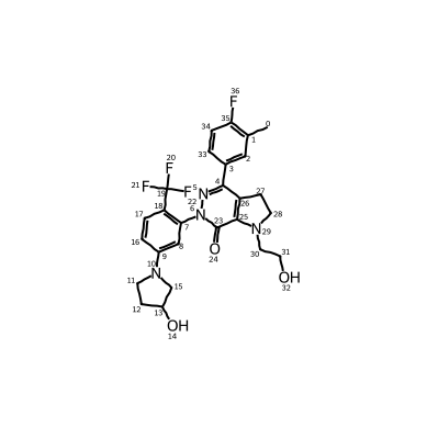 Cc1cc(-c2nn(-c3cc(N4CCC(O)C4)ccc3C(F)(F)F)c(=O)c3c2CCN3CCO)ccc1F